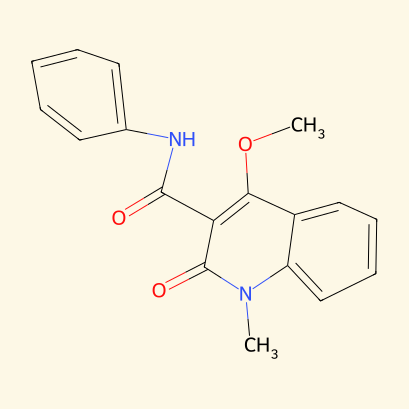 COc1c(C(=O)Nc2ccccc2)c(=O)n(C)c2ccccc12